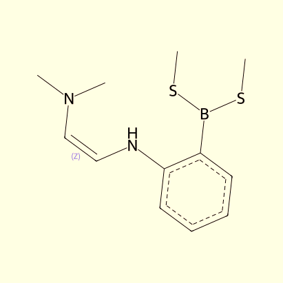 CSB(SC)c1ccccc1N/C=C\N(C)C